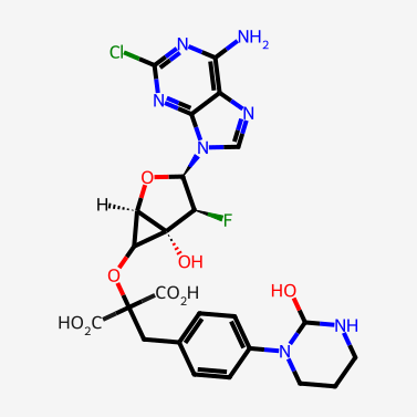 Nc1nc(Cl)nc2c1ncn2[C@@H]1O[C@@H]2C(OC(Cc3ccc(N4CCCNC4O)cc3)(C(=O)O)C(=O)O)[C@]2(O)[C@@H]1F